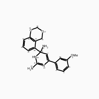 COc1cccc(C2=CC(N)(c3cccc4c3COCO4)NC(N)=N2)c1